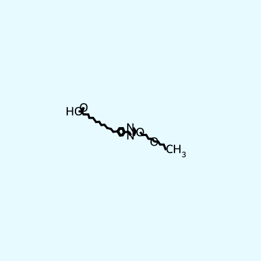 CCCCCOCCCCOc1cnc(-c2ccc(CCCCCCCCCCCC(=O)O)cc2)nc1